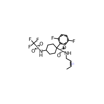 C/C=C\CNS(=O)(=O)C1(c2cc(F)ccc2F)CCC(NS(=O)(=O)C(F)(F)F)CC1